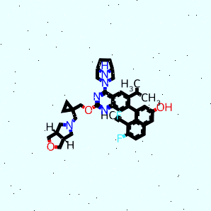 C#Cc1c(F)ccc2cc(O)cc(-c3c(C(C)C)cc4c(N5CC6CCC(C5)N6)nc(OCC5(CN6C[C@H]7COC[C@@H]7C6)CC5)nc4c3F)c12